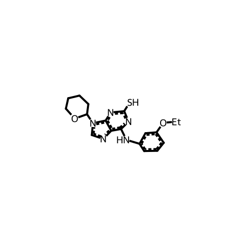 CCOc1cccc(Nc2nc(S)nc3c2ncn3C2CCCCO2)c1